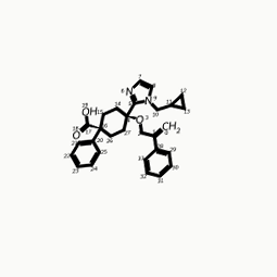 C=C(CO[C@]1(c2nccn2CC2CC2)CC[C@@](C(=O)O)(c2ccccc2)CC1)c1ccccc1